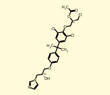 CC(=O)O[C@@H](CCl)COc1c(Cl)cc(C(C)(C)c2ccc(OC[C@H](O)Cn3ccnc3)cc2)cc1Cl